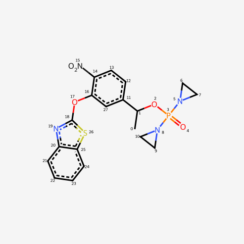 CC(OP(=O)(N1CC1)N1CC1)c1ccc([N+](=O)[O-])c(Oc2nc3ccccc3s2)c1